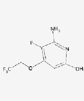 Nc1nc(O)cc(OCC(F)(F)F)c1F